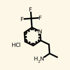 CC(N)Cc1cccc(C(F)(F)F)n1.Cl